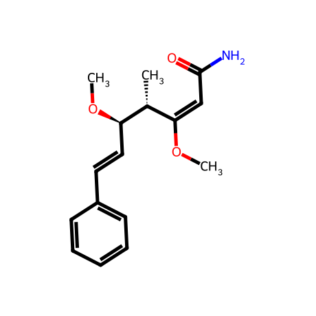 CO/C(=C/C(N)=O)[C@@H](C)[C@@H](/C=C/c1ccccc1)OC